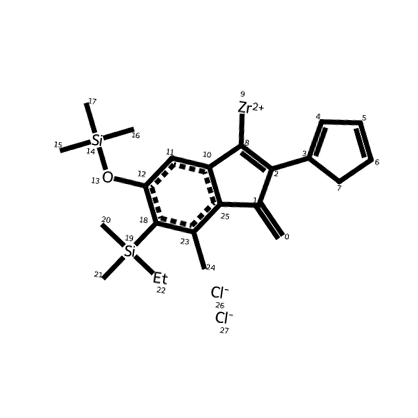 C=C1C(C2=CC=CC2)=[C]([Zr+2])c2cc(O[Si](C)(C)C)c([Si](C)(C)CC)c(C)c21.[Cl-].[Cl-]